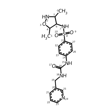 CC1NOC(C)C1NS(=O)(=O)c1ccc(NC(=O)NCc2cccnc2)cc1